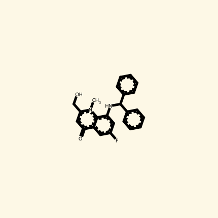 Cn1c(CO)cc(=O)c2cc(F)cc(NC(c3ccccc3)c3ccccc3)c21